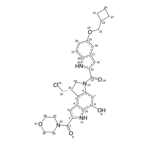 O=C(c1cc2c3c(cc(O)c2[nH]1)N(C(=O)c1cc2cc(OCC4CCC4)ccc2[nH]1)C[C@H]3CCl)N1CCOCC1